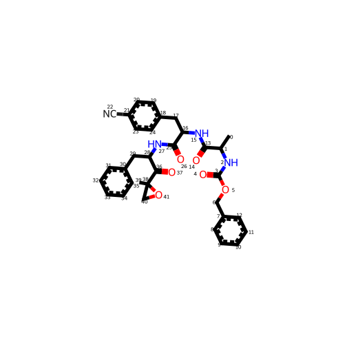 CC(NC(=O)OCc1ccccc1)C(=O)NC(Cc1ccc(C#N)cc1)C(=O)NC(Cc1ccccc1)C(=O)C1(C)CO1